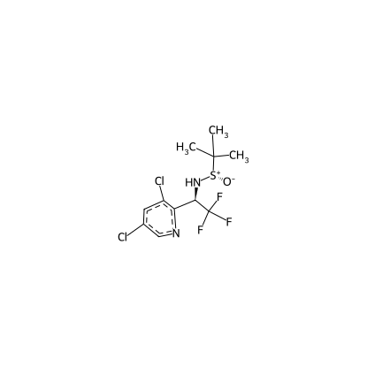 CC(C)(C)[S@+]([O-])N[C@H](c1ncc(Cl)cc1Cl)C(F)(F)F